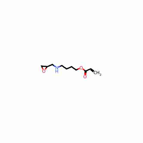 C=CC(=O)OCCCCNCC1CO1